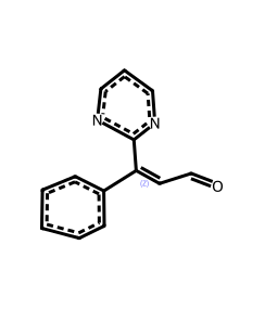 O=C/C=C(/c1ccccc1)c1ncccn1